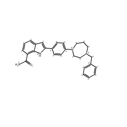 NC(=O)c1cccc2cc(-c3ccc(N4CCCN(Cc5ccccc5)CC4)cc3)[nH]c12